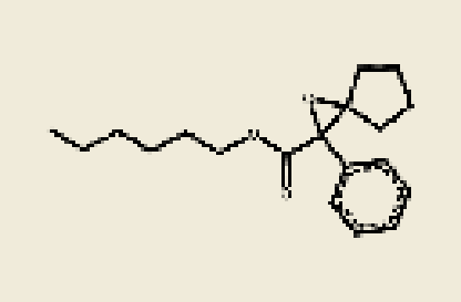 CCCCCCOC(=O)C1(c2ccccc2)OC12CCCC2